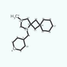 CN1CN(CC2CCOCC2)C2(C1)CC1(CCCCC1)C2